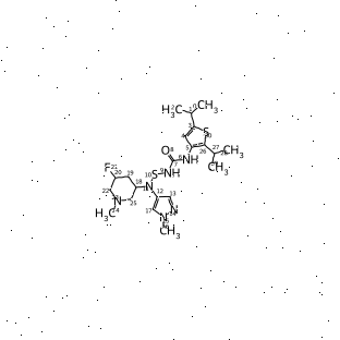 CC(C)c1cc(NC(=O)NSN(c2cnn(C)c2)C2CC(F)CN(C)C2)c(C(C)C)s1